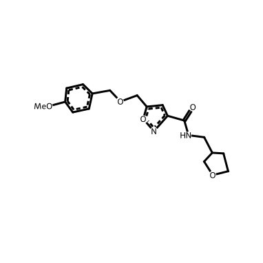 COc1ccc(COCc2cc(C(=O)NCC3CCOC3)no2)cc1